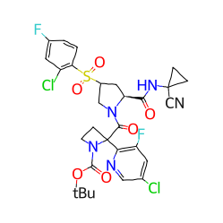 CC(C)(C)OC(=O)N1CCC1(C(=O)N1CC(S(=O)(=O)c2ccc(F)cc2Cl)C[C@H]1C(=O)NC1(C#N)CC1)c1ncc(Cl)cc1F